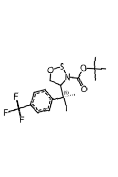 CC(C)(C)OC(=O)N1SOCC1[C@@](C)(I)c1ccc(C(F)(F)F)cc1